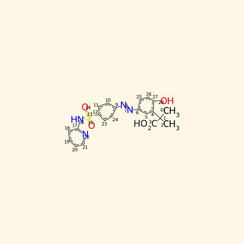 CC(C)(C(=O)O)c1cc(N=Nc2ccc(S(=O)(=O)Nc3ccccn3)cc2)ccc1O